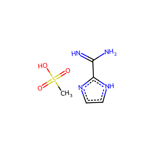 CS(=O)(=O)O.N=C(N)c1ncc[nH]1